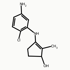 CC1=C(Nc2cc(N)ccc2Cl)CCC1O